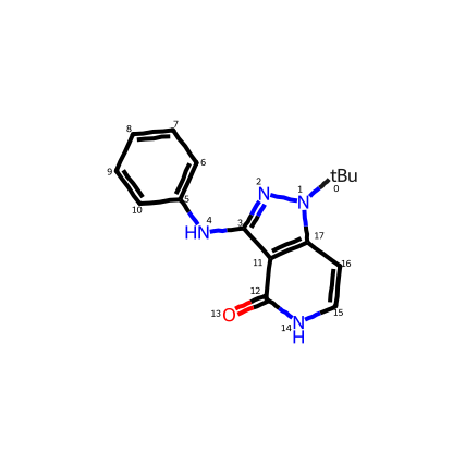 CC(C)(C)n1nc(Nc2ccccc2)c2c(=O)[nH]ccc21